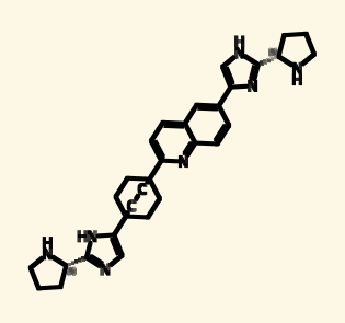 c1cc2nc(C34CCC(c5cnc([C@@H]6CCCN6)[nH]5)(CC3)CC4)ccc2cc1-c1c[nH]c([C@@H]2CCCN2)n1